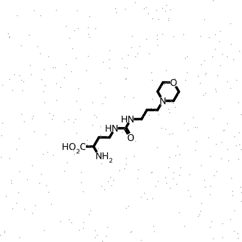 NC(CCNC(=O)NCCCN1CCOCC1)C(=O)O